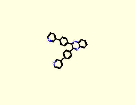 c1cncc(-c2ccc(-c3nc4ccccc4nc3-c3ccc(-c4cccnc4)cc3)cc2)c1